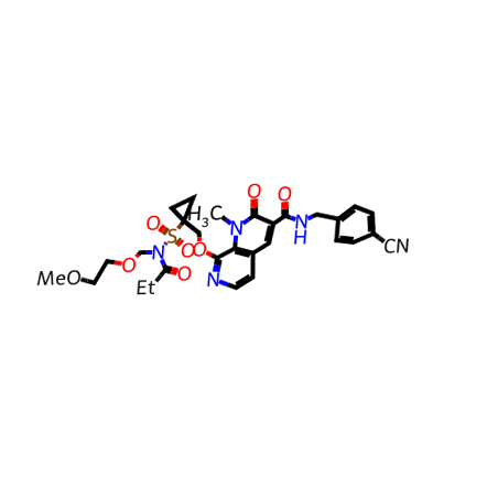 CCC(=O)N(COCCOC)S(=O)(=O)C1(COc2nccc3cc(C(=O)NCc4ccc(C#N)cc4)c(=O)n(C)c23)CC1